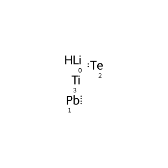 [LiH].[Pb].[Te].[Ti]